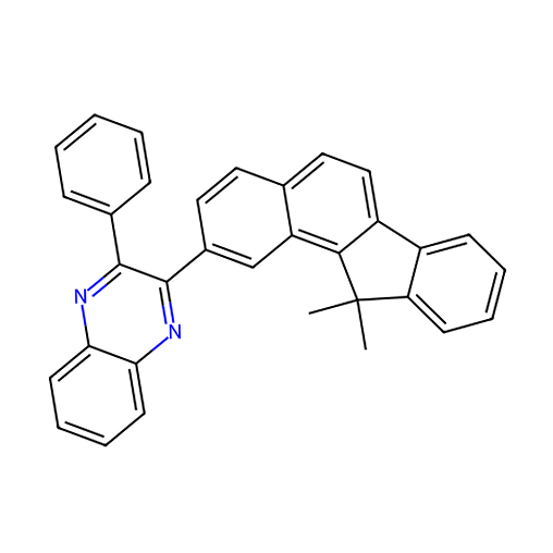 CC1(C)c2ccccc2-c2ccc3ccc(-c4nc5ccccc5nc4-c4ccccc4)cc3c21